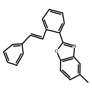 Cc1ccc2oc(-c3ccccc3/C=C/c3ccccc3)nc2c1